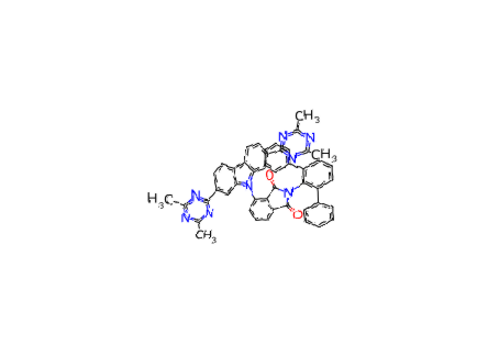 Cc1nc(C)nc(-c2ccc3c4ccc(-c5nc(C)nc(C)n5)cc4n(-c4cccc5c4C(=O)N(c4c(-c6ccccc6)cccc4-c4ccccc4)C5=O)c3c2)n1